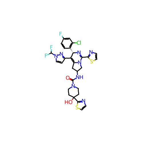 O=C(NC1CC2=C(c3ccn(C(F)F)n3)[C@H](c3ccc(F)cc3Cl)N=C(c3nccs3)N2C1)N1CCC(O)(c2nccs2)CC1